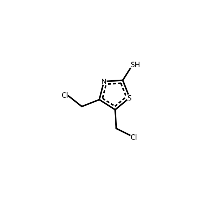 Sc1nc(CCl)c(CCl)s1